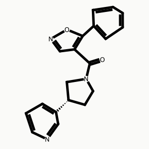 O=C(c1cnoc1-c1ccccc1)N1CC[C@H](c2cccnc2)C1